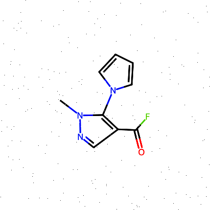 Cn1ncc(C(=O)F)c1-n1cccc1